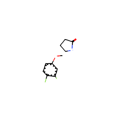 O=C1CC[C@@H](COc2ccc(F)c(F)c2)N1